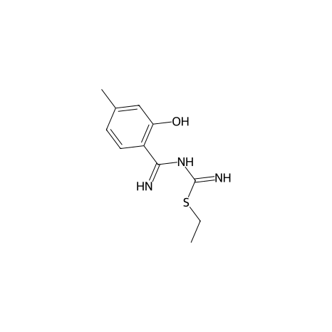 CCSC(=N)NC(=N)c1ccc(C)cc1O